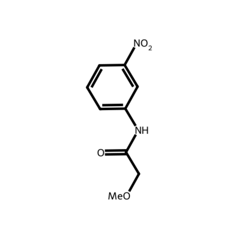 COCC(=O)Nc1cccc([N+](=O)[O-])c1